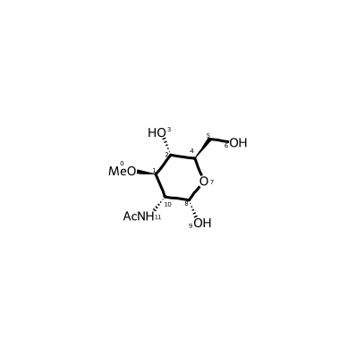 CO[C@H]1[C@H](O)[C@@H](CO)O[C@H](O)[C@@H]1NC(C)=O